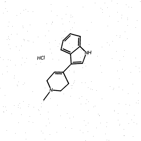 CN1CC=C(c2c[nH]c3ccccc23)CC1.Cl